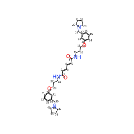 O=C(/C=C/C=C/C(=O)NCCCOc1cccc(CN2CCCC2)c1)NCCCOc1cccc(CN2CCCC2)c1